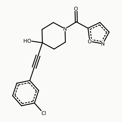 O=C(c1ccno1)N1CCC(O)(C#Cc2cccc(Cl)c2)CC1